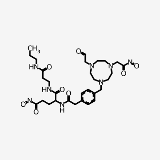 CCCNC(=O)CCNC(=O)C(CCC(=O)N=O)NC(=O)Cc1ccc(CN2CCN(CC=O)CCN(CC(=O)N=O)CC2)cc1